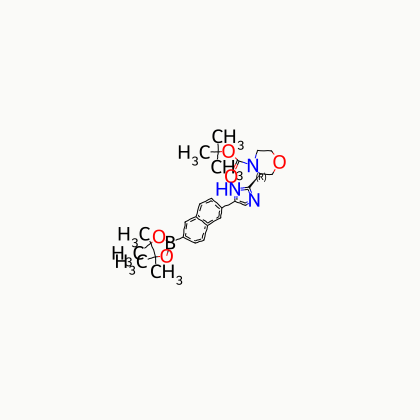 CC(C)(C)OC(=O)N1CCOC[C@H]1c1ncc(-c2ccc3cc(B4OC(C)(C)C(C)(C)O4)ccc3c2)[nH]1